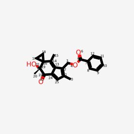 CC1=C(COC(=O)c2ccccc2)C2=C(C)C3(CC3)[C@@](C)(O)C(=O)C2=C1